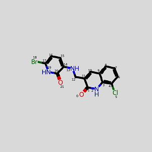 O=c1[nH]c2c(Cl)cccc2cc1CNc1ccc(Br)[nH]c1=O